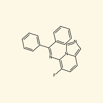 Fc1ccc2cncn2c1N=C(c1ccccc1)c1ccccc1